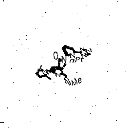 CCCn1cnnc1-c1cccc(N2Cc3c(cc(N4C(C)CC[C@H]4C)nc3CNC)C2=O)n1